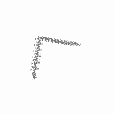 O=S(=O)(O)O.O=S(=O)(O)O.O=S(=O)(O)O.O=S(=O)(O)O.O=S(=O)(O)O.O=S(=O)(O)O.O=S(=O)(O)O.O=S(=O)(O)O.O=S(=O)(O)O.O=S(=O)(O)O.O=S(=O)(O)O.O=S(=O)(O)O.O=S(=O)(O)O.O=S(=O)(O)O.O=S(=O)(O)O.O=S(=O)(O)O.O=S(=O)(O)O.O=S(=O)(O)O.O=S(=O)(O)O.O=S(=O)(O)O.O=S(=O)([O-])O.O=S(=O)([O-])[O-].O=S(=O)([O-])[O-].O=S(=O)([O-])[O-].O=S(=O)([O-])[O-].[Al+3].[Al+3].[Al+3]